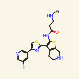 CC(C)NCCC(=O)Nc1sc2c(c1-c1nc(-c3cncc(F)c3)cs1)CCNC2